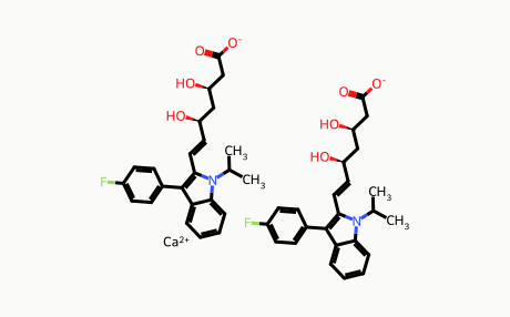 CC(C)n1c(/C=C/[C@@H](O)C[C@@H](O)CC(=O)[O-])c(-c2ccc(F)cc2)c2ccccc21.CC(C)n1c(/C=C/[C@@H](O)C[C@@H](O)CC(=O)[O-])c(-c2ccc(F)cc2)c2ccccc21.[Ca+2]